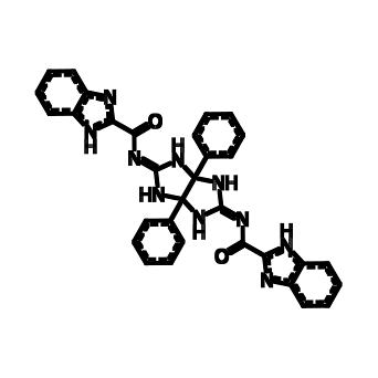 O=C(N=C1NC2(c3ccccc3)NC(=NC(=O)c3nc4ccccc4[nH]3)NC2(c2ccccc2)N1)c1nc2ccccc2[nH]1